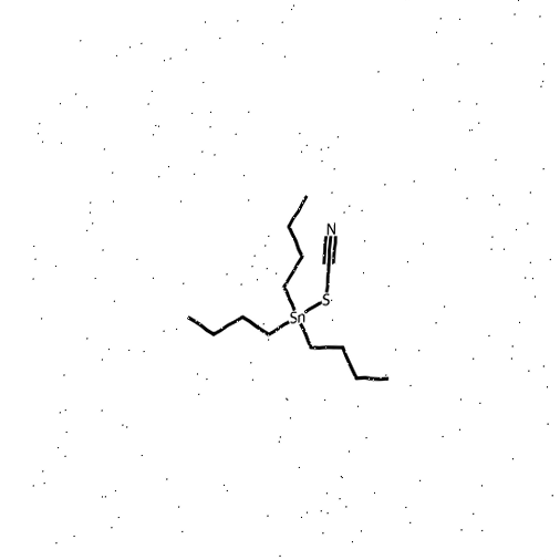 CCC[CH2][Sn]([CH2]CCC)([CH2]CCC)[S]C#N